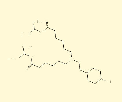 CCCCCCCCC(CCCCCC)OC(=O)CCCCCN(CCCCCC(=O)OC(CCCCCC)CCCCCCCC)CCC1CCC(O)CC1